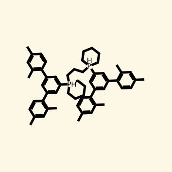 Cc1ccc(-c2cc(-c3ccc(C)cc3C)cc([PH]3(CCC[PH]4(c5cc(-c6ccc(C)cc6C)cc(-c6ccc(C)cc6C)c5)CCCCC4)CCCCC3)c2)c(C)c1